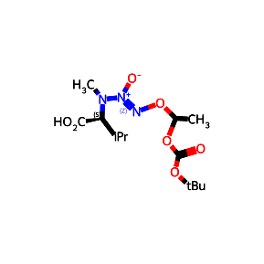 CC(O/N=[N+](\[O-])N(C)[C@H](C(=O)O)C(C)C)OC(=O)OC(C)(C)C